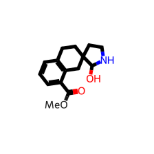 COC(=O)c1cccc2c1CC1(CCNC1O)CC2